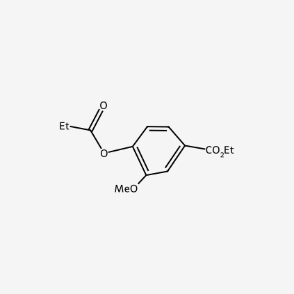 [CH2]CC(=O)Oc1ccc(C(=O)OCC)cc1OC